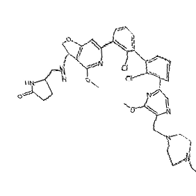 COc1nc(-c2cccc(-c3cccc(-c4cc5c(c(OC)n4)C(NCC4CCC(=O)N4)CO5)c3Cl)c2Cl)cnc1CN1CCN(C(C)=O)CC1